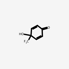 O=C1C=CC(O)(C(F)(F)F)C=C1